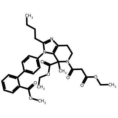 CCCCc1nc2c(n1-c1ccc(-c3ccccc3C(=O)OC)cc1)C(C)(C(=O)OCC)N(C(=O)CC(=O)OCC)CC2